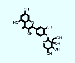 O=c1c(O)c(-c2ccc(OC3OCC(O)C(O)C3(O)CO)c(O)c2)oc2cc(O)cc(O)c12